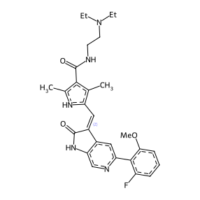 CCN(CC)CCNC(=O)c1c(C)[nH]c(/C=C2\C(=O)Nc3cnc(-c4c(F)cccc4OC)cc32)c1C